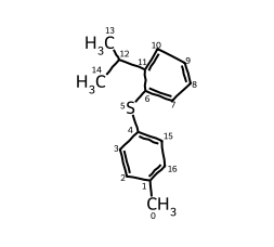 Cc1ccc(Sc2ccccc2C(C)C)cc1